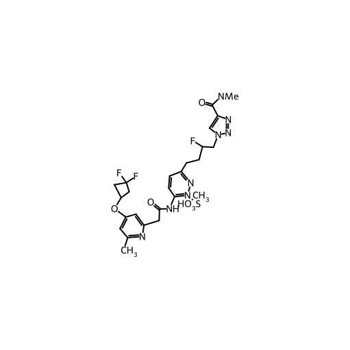 CNC(=O)c1cn(CC(F)CCc2ccc(NC(=O)Cc3cc(OC4CC(F)(F)C4)cc(C)n3)nn2)nn1.CS(=O)(=O)O